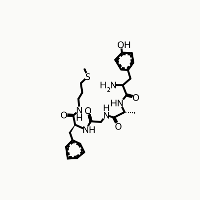 CSCCCNC(=O)[C@H](Cc1ccccc1)NC(=O)CNC(=O)[C@@H](C)NC(=O)C(N)Cc1ccc(O)cc1